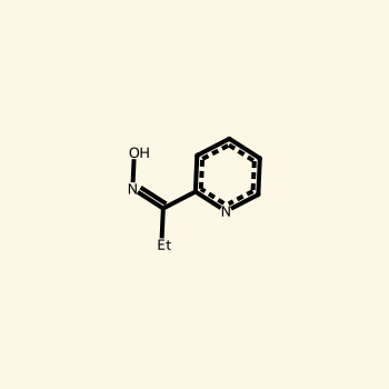 CC/C(=N/O)c1ccccn1